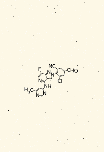 Cc1cc(Nc2ncc(F)c3nn(-c4c(Cl)cc(C=O)cc4C#N)cc23)ncn1